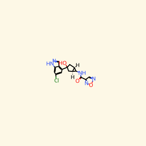 O=C(NC1[C@H]2CC(O)(c3cc(Cl)cc4[nH]ncc34)C[C@@H]12)c1cnon1